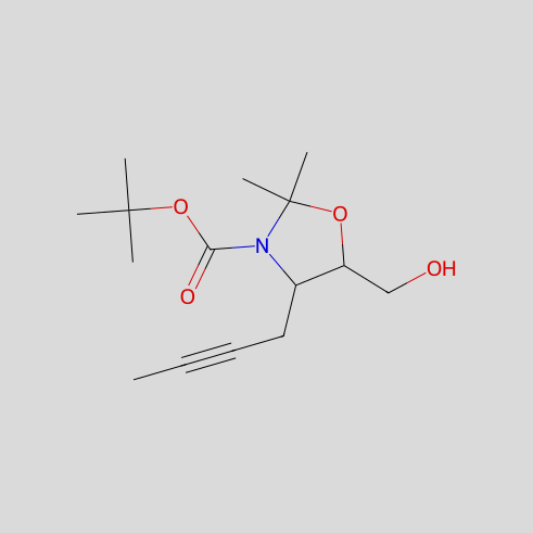 CC#CCC1C(CO)OC(C)(C)N1C(=O)OC(C)(C)C